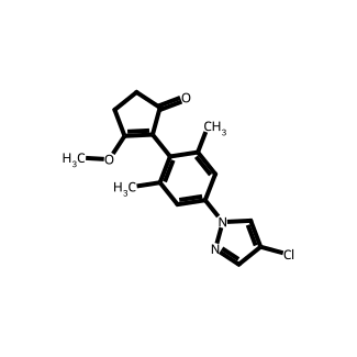 COC1=C(c2c(C)cc(-n3cc(Cl)cn3)cc2C)C(=O)CC1